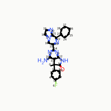 CC1(c2ccc(F)cc2)C(=O)Nc2nc(-c3cn4ccnc4c(-c4ccccc4)n3)nc(N)c21